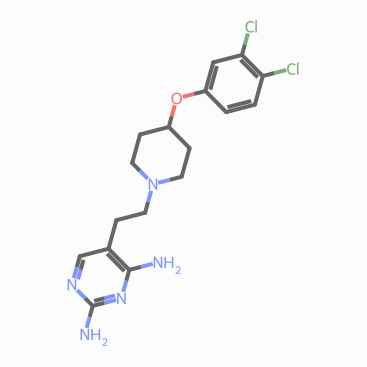 Nc1ncc(CCN2CCC(Oc3ccc(Cl)c(Cl)c3)CC2)c(N)n1